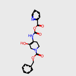 O=C(NC1=C(O)CN(C(=O)OCc2ccccc2)CC1)OC(=O)c1ccccn1